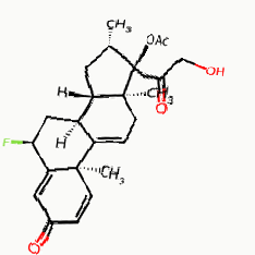 CC(=O)O[C@]1(C(=O)CO)[C@@H](C)C[C@H]2[C@@H]3C[C@H](F)C4=CC(=O)C=C[C@]4(C)C3=CC[C@@]21C